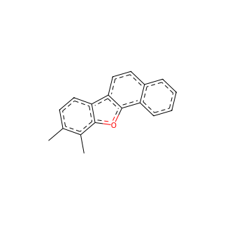 Cc1ccc2c(oc3c4ccccc4ccc23)c1C